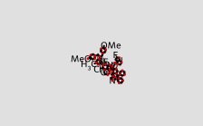 COc1ccc(CN(Cc2ccc(OC)cc2)c2cc(C)cc(-c3c(Cl)c4c5c(nc(OC[C@@]67CCCN6C[C@H](F)C7)nc5c3F)N(Cc3cncn3C(c3ccccc3)(c3ccccc3)c3ccccc3)CCO4)n2)cc1